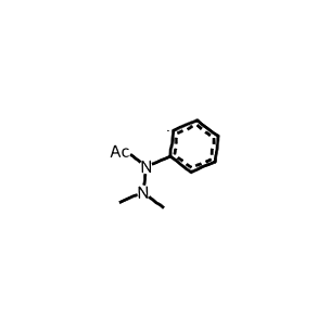 CC(=O)N(c1[c]cccc1)N(C)C